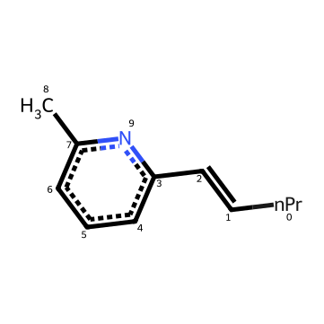 CCCC=Cc1cccc(C)n1